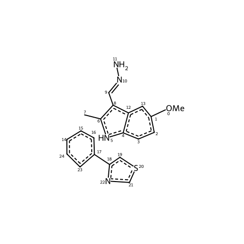 COc1ccc2[nH]c(C)c(C=NN)c2c1.c1ccc(-c2cscn2)cc1